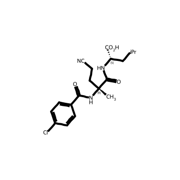 CC(C)C[C@H](NC(=O)[C@@](C)(CCC#N)NC(=O)c1ccc(Cl)cc1)C(=O)O